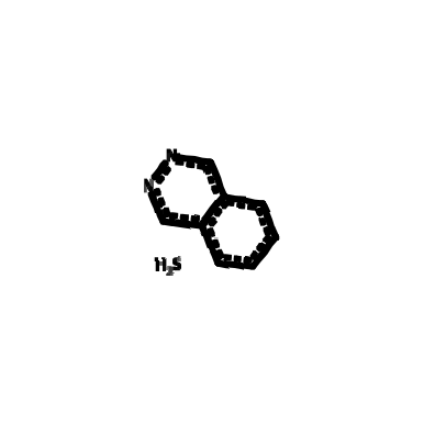 S.c1ccc2cnncc2c1